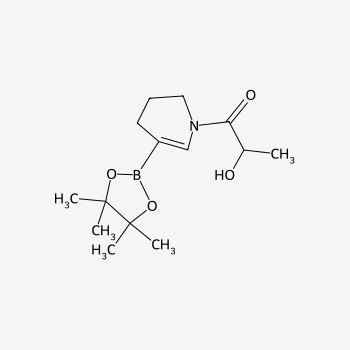 CC(O)C(=O)N1C=C(B2OC(C)(C)C(C)(C)O2)CCC1